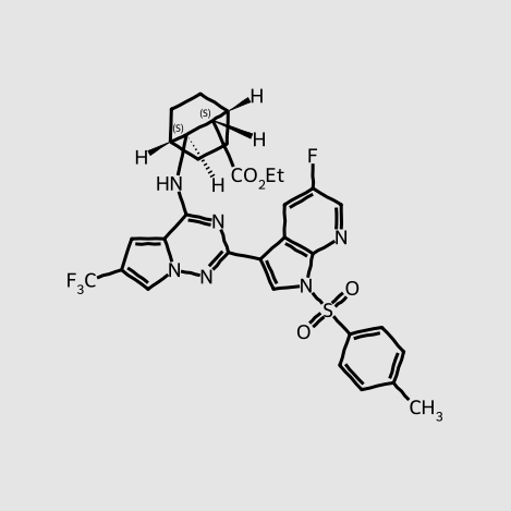 CCOC(=O)[C@H]1[C@H]2CC[C@H](CC2)[C@@H]1Nc1nc(-c2cn(S(=O)(=O)c3ccc(C)cc3)c3ncc(F)cc23)nn2cc(C(F)(F)F)cc12